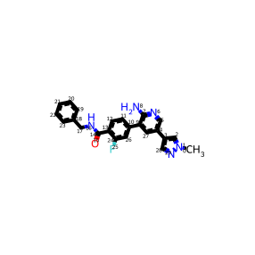 Cn1cc(-c2cnc(N)c(-c3ccc(C(=O)NCc4ccccc4)c(F)c3)c2)cn1